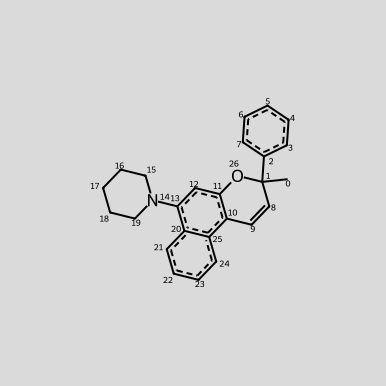 CC1(c2ccccc2)C=Cc2c(cc(N3CCCCC3)c3ccccc23)O1